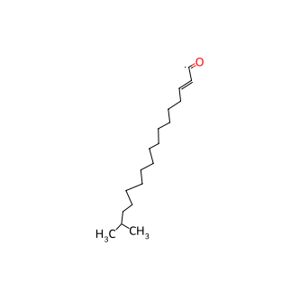 CC(C)CCCCCCCCCCCCC=C[C]=O